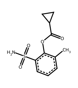 Cc1cccc(S(N)(=O)=O)c1OC(=O)C1CC1